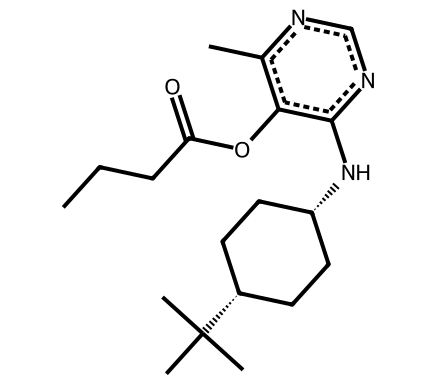 CCCC(=O)Oc1c(C)ncnc1N[C@H]1CC[C@@H](C(C)(C)C)CC1